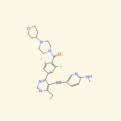 CCc1ncnc(-c2cc(F)c(C(=O)N3CCN(C4CCOCC4)CC3)c(F)c2)c1C#Cc1ccc(NC)nc1